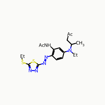 CCSc1nnc(/N=N/c2ccc(N(CC)C(C)CC(C)=O)cc2NC(C)=O)s1